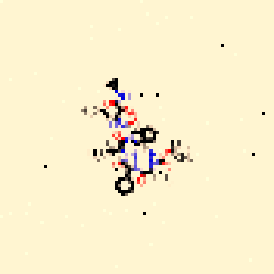 CCC[C@H](NC(=O)[C@@H]1[C@H]2CCC[C@H]2CN1C(=O)[C@@H](NC(=O)[C@@H](NC(=O)[C@@H](C)NC(=O)OC(C)C)C1CCCCC1)C(C)(C)C)C(=O)C(=O)NC1CC1